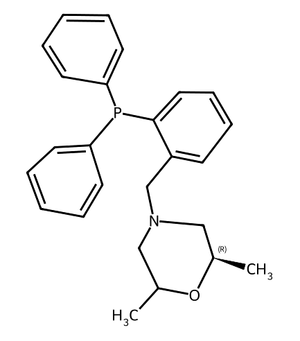 CC1CN(Cc2ccccc2P(c2ccccc2)c2ccccc2)C[C@@H](C)O1